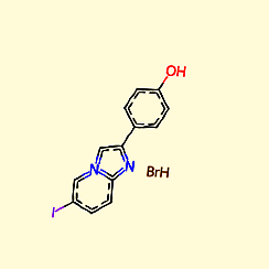 Br.Oc1ccc(-c2cn3cc(I)ccc3n2)cc1